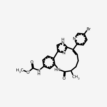 COC(=O)Nc1ccc2c(c1)NC(=O)C(C)CC/C=C(/c1ccc(Br)cn1)c1nc-2c[nH]1